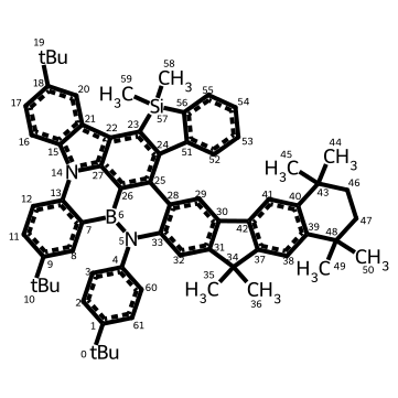 CC(C)(C)c1ccc(N2B3c4cc(C(C)(C)C)ccc4-n4c5ccc(C(C)(C)C)cc5c5c6c(c(c3c54)-c3cc4c(cc32)C(C)(C)c2cc3c(cc2-4)C(C)(C)CCC3(C)C)-c2ccccc2[Si]6(C)C)cc1